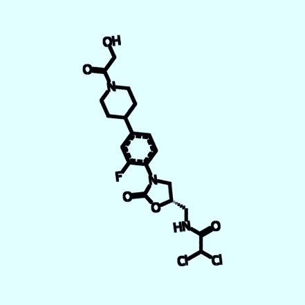 O=C(NC[C@H]1CN(c2ccc(C3CCN(C(=O)CO)CC3)cc2F)C(=O)O1)C(Cl)Cl